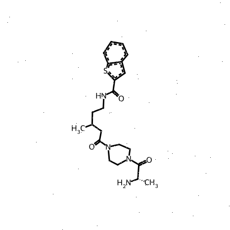 CC(CCNC(=O)c1cc2ccccc2s1)CC(=O)N1CCN(C(=O)[C@H](C)N)CC1